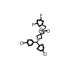 N#CC1(CS(=O)(=O)Cc2cc(F)cc(F)c2)CN(C(c2ccc(Cl)cc2)c2ccc(Cl)cc2)C1